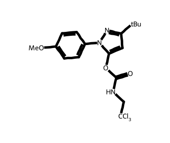 COc1ccc(-n2nc(C(C)(C)C)cc2OC(=O)NCC(Cl)(Cl)Cl)cc1